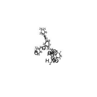 NS(=O)(=O)c1ccccc1NS(=O)(=O)CCc1ccc(C#CC2CCCC2)cc1OCC1CCOCC1